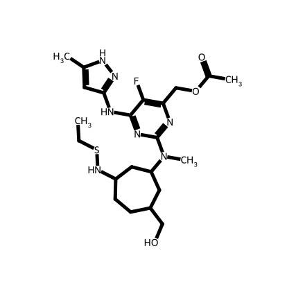 CCSNC1CCC(CO)CC(N(C)c2nc(COC(C)=O)c(F)c(Nc3cc(C)[nH]n3)n2)C1